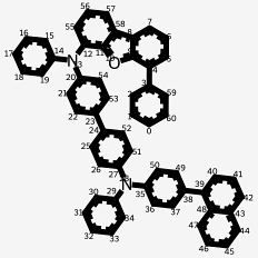 c1ccc(-c2cccc3c2oc2c(N(c4ccccc4)c4ccc(-c5ccc(N(c6ccccc6)c6ccc(-c7cccc8ccccc78)cc6)cc5)cc4)cccc23)cc1